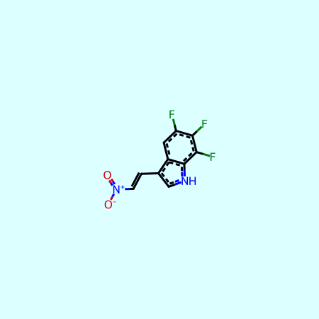 O=[N+]([O-])/C=C/c1c[nH]c2c(F)c(F)c(F)cc12